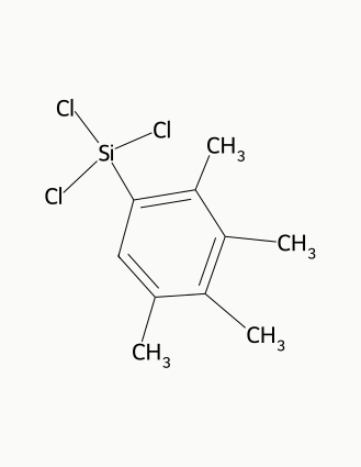 Cc1cc([Si](Cl)(Cl)Cl)c(C)c(C)c1C